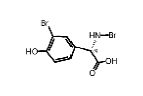 O=C(O)[C@@H](NBr)c1ccc(O)c(Br)c1